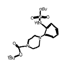 CCCCS(=O)(=O)Nc1ccccc1N1CCN(C(=O)OC(C)(C)C)CC1